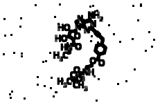 CCNC(=O)C1OC(n2cnc3c(N)nc(C#CCC4CCC(C(=O)OCCNC(=O)OC(C)(C)C)CC4)nc32)C(O)C1O